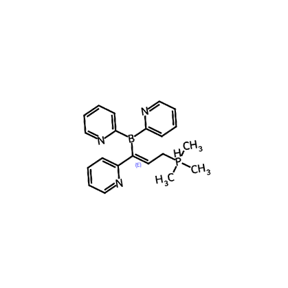 C[PH](C)(C)C/C=C(\B(c1ccccn1)c1ccccn1)c1ccccn1